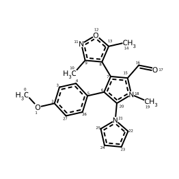 COc1ccc(-c2c(-c3c(C)noc3C)c(C=O)n(C)c2-n2cccc2)cc1